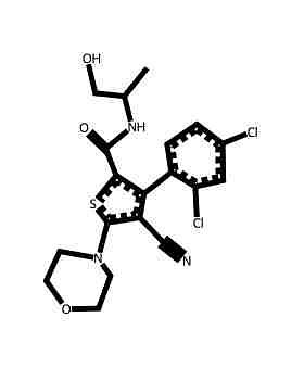 CC(CO)NC(=O)c1sc(N2CCOCC2)c(C#N)c1-c1ccc(Cl)cc1Cl